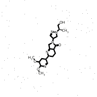 COC1CC(C2CCC3C(=O)N(C4C=NN([C@H](C)CO)C4)CC3=N2)C=NC1OC